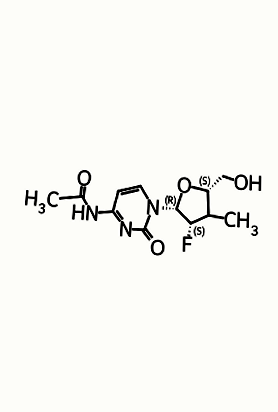 CC(=O)Nc1ccn([C@@H]2O[C@H](CO)C(C)[C@@H]2F)c(=O)n1